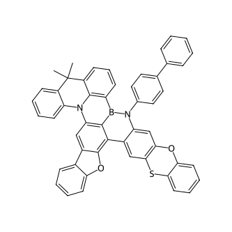 CC1(C)c2ccccc2N2c3cc4c(oc5ccccc54)c4c3B(c3cccc1c32)N(c1ccc(-c2ccccc2)cc1)c1cc2c(cc1-4)Sc1ccccc1O2